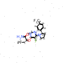 CC(C)C[C@@H](Oc1ncnc(N2CCC[C@@H]2c2ccc(C(F)(F)F)cc2)c1F)C(N)=O